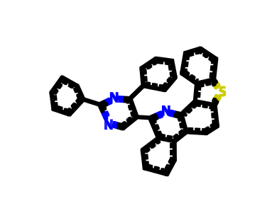 c1ccc(-c2ncc(-c3nc4c(ccc5sc6ccccc6c54)c4ccccc34)c(-c3ccccc3)n2)cc1